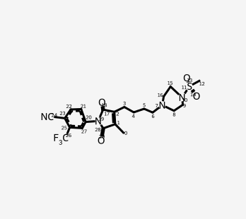 CC1=C(CCCCN2CCN(S(C)(=O)=O)CC2)C(=O)N(c2ccc(C#N)c(C(F)(F)F)c2)C1=O